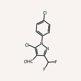 O=Cc1c(C(F)F)nn(-c2ccc(Cl)cc2)c1Cl